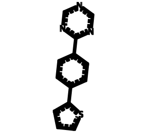 c1csc(-c2ccc(-c3ncncn3)cc2)c1